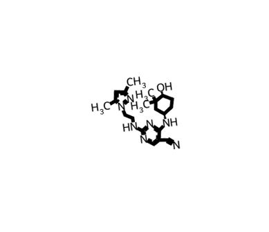 Cc1cc(C)n(CCNc2ncc(C#N)c(N[C@@H]3CC[C@H](O)C(C)(C)C3)n2)n1